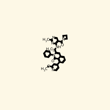 COc1cc(-c2cccc3cc([C@H](C)Nc4nc(C)ncc4C(=O)N4CCC4)n(-c4ccccc4)c(=O)c23)ccn1